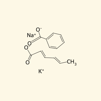 C/C=C/C=C/C(=O)[O-].O=C([O-])c1ccccc1.[K+].[Na+]